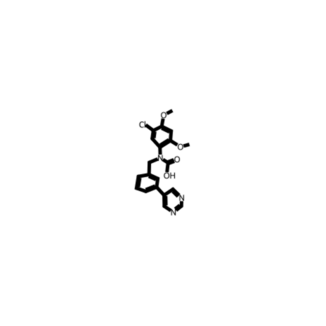 COc1cc(OC)c(N(Cc2cccc(-c3cncnc3)c2)C(=O)O)cc1Cl